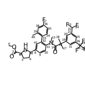 COC(=O)[C@@H]1CC[C@H](c2ccc(N(C)C(=O)C(C)(C)c3cc(C(F)F)cc(C(F)(F)F)c3)c(-c3ccc(F)cc3C)c2)N1